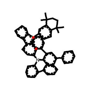 CC1(C)CCC(C)(C)c2cc(-n3c4ccccc4c4ccc(N(c5ccccc5-c5ccccc5)c5ccc(-c6ccccc6)cc5-c5ccccc5)cc43)ccc21